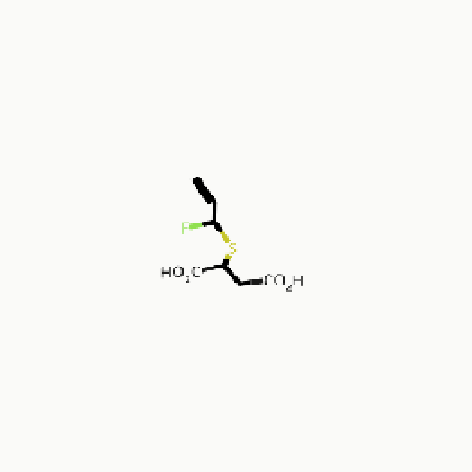 C=CC(F)SC(CC(=O)O)C(=O)O